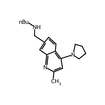 CCCCNCc1ccc2c(N3CCCC3)cc(C)nc2c1